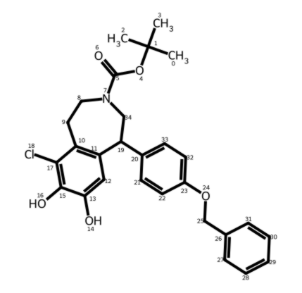 CC(C)(C)OC(=O)N1CCc2c(cc(O)c(O)c2Cl)C(c2ccc(OCc3ccccc3)cc2)C1